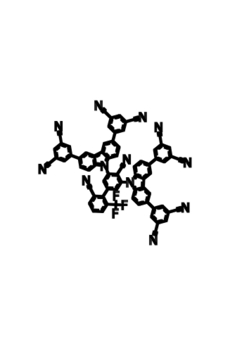 N#Cc1cc(C#N)cc(-c2ccc3c(c2)c2cc(-c4cc(C#N)cc(C#N)c4)ccc2n3-c2cc(-c3c(C#N)cccc3C(F)(F)F)cc(-n3c4ccc(-c5cc(C#N)cc(C#N)c5)cc4c4cc(-c5cc(C#N)cc(C#N)c5)ccc43)c2C#N)c1